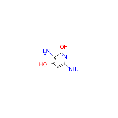 Nc1cc(O)c(N)c(O)n1